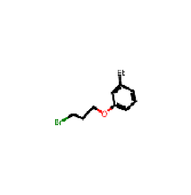 CCc1cccc(OCCCBr)c1